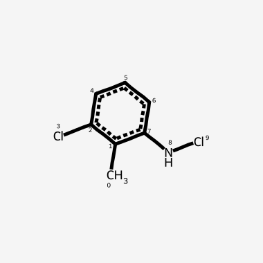 Cc1c(Cl)cccc1NCl